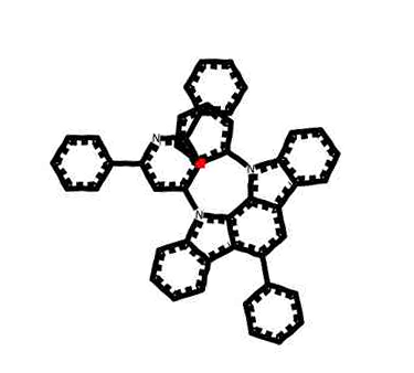 c1ccc(-c2cc(-n3c4ccccc4c4c(-c5ccccc5)cc5c6ccccc6n(-c6ccccc6)c5c43)cc(-c3ccccc3)n2)cc1